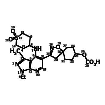 CCn1nc(C)c2c(NC3CCS(=O)(=O)CC3)c(C3=NOC4(CCC(OC(=O)O)CC4)C3)cnc21